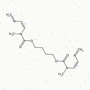 C=N/C=C\N(C)C(=O)OCCCCOC(=O)N(C)/C=C\N=C